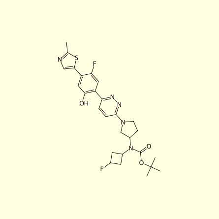 Cc1ncc(-c2cc(O)c(-c3ccc(N4CCC(N(C(=O)OC(C)(C)C)C5CC(F)C5)C4)nn3)cc2F)s1